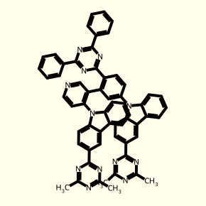 Cc1nc(C)nc(-c2ccc3c(c2)c2ccccc2n3-c2ccc(-c3nc(-c4ccccc4)nc(-c4ccccc4)n3)c(-c3cnccc3-n3c4ccccc4c4cc(-c5nc(C)nc(C)n5)ccc43)c2)n1